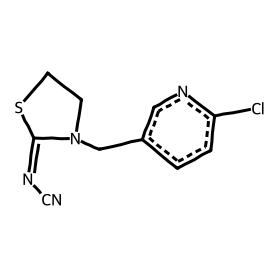 N#C/N=C1/SCCN1Cc1ccc(Cl)nc1